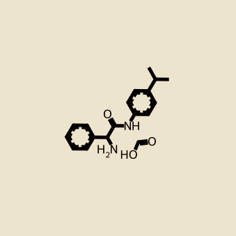 CC(C)c1ccc(NC(=O)C(N)c2ccccc2)cc1.O=CO